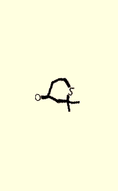 CC1(C)CC(=O)CCS1